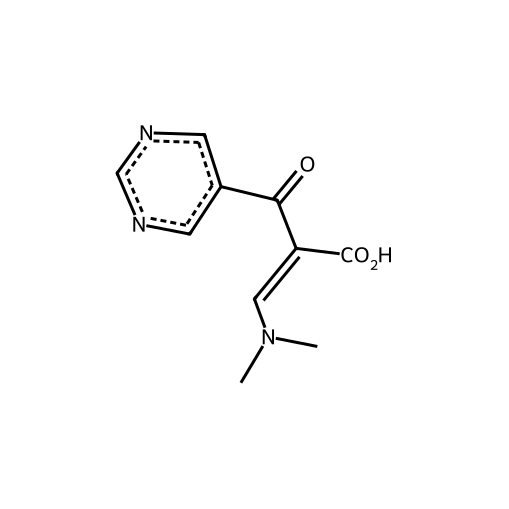 CN(C)C=C(C(=O)O)C(=O)c1cncnc1